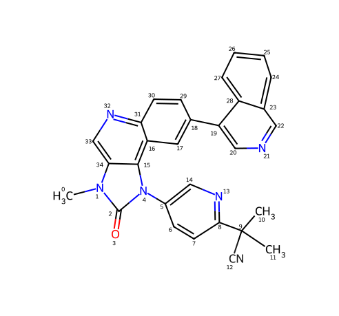 Cn1c(=O)n(-c2ccc(C(C)(C)C#N)nc2)c2c3cc(-c4cncc5ccccc45)ccc3ncc21